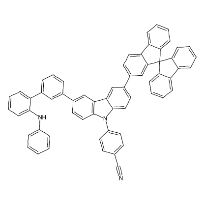 N#Cc1ccc(-n2c3ccc(-c4cccc(-c5ccccc5Nc5ccccc5)c4)cc3c3cc(-c4ccc5c(c4)C4(c6ccccc6-c6ccccc64)c4ccccc4-5)ccc32)cc1